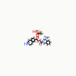 CN(C)CCN(Cc1ccccc1)C(=O)CCC(=O)c1ccc2c(c1)CCNCC2.O=C(O)C(F)(F)F